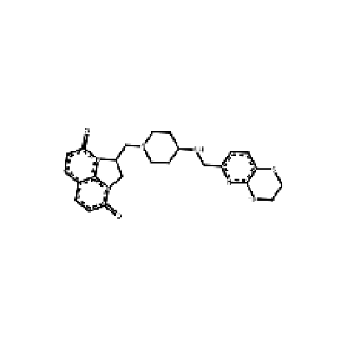 O=c1ccc2ccc(=O)n3c2n1CC3CN1CCC(NCc2ccc3c(n2)NCCS3)CC1